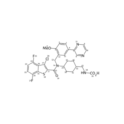 COc1ccc(-c2cnccn2)cc1CN(C(=O)c1sc2c(F)ccc(F)c2c1Cl)C1CCC(CNC(=O)O)CC1